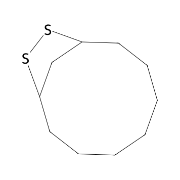 C1CCCC2CC(CCC1)SS2